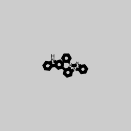 c1ccc(-n2c3c(-c4ccc5[nH]c6ccccc6c5c4)cccc3n3c4ccccc4nc23)cc1